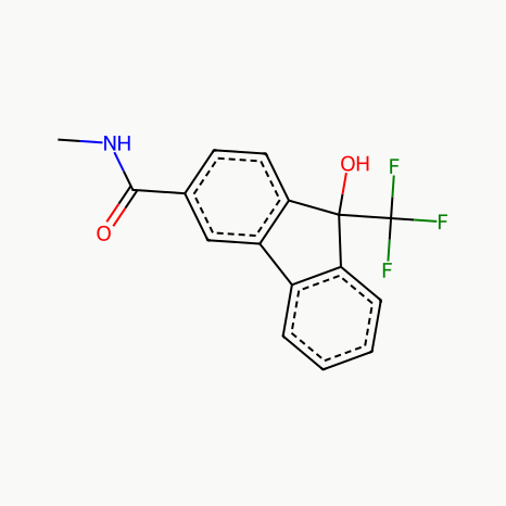 CNC(=O)c1ccc2c(c1)-c1ccccc1C2(O)C(F)(F)F